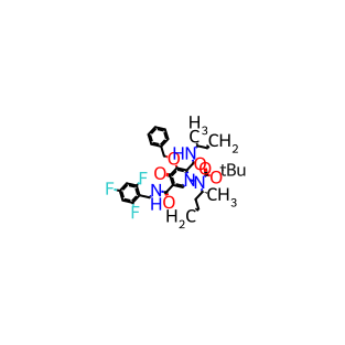 C=CC[C@@H](C)N(C(=O)OC(C)(C)C)n1cc(C(=O)NCc2c(F)cc(F)cc2F)c(=O)c(OCc2ccccc2)c1C(=O)N[C@@H](C)C=C